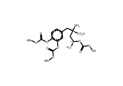 CCCCOC(=O)Oc1ccc(C[C@](N)(C[C@H](C)OC(=O)OCCC)C(=O)O)cc1OC(=O)OCCCC